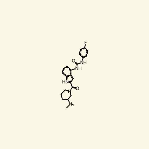 CN(C)C1CCCN(C(=O)c2cc3c(NC(=O)Nc4ccc(F)cc4)cccc3[nH]2)C1